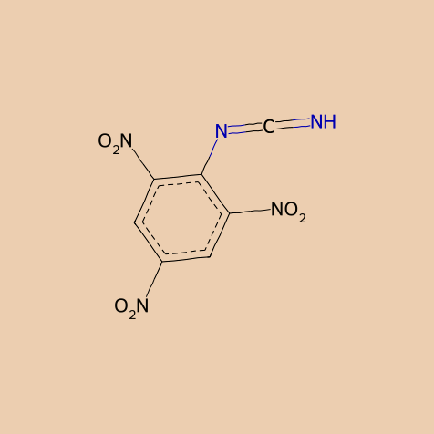 N=C=Nc1c([N+](=O)[O-])cc([N+](=O)[O-])cc1[N+](=O)[O-]